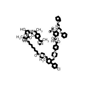 Cc1ncsc1-c1ccc([C@H](C)NC(=O)[C@@H]2C[C@@H](O)CN2C(=O)[C@@H](NCCCCCCCC(=O)N2CCN(C[C@]3(C)CCC(c4ccc(Cl)cc4)=C(CN4CCN(c5ccc(C(=O)NS(=O)(=O)c6ccc(N[C@H](CCN7CC8CCC7C8)CSc7ccccc7)c([N+](=O)[O-])c6)cc5)CC4)C3)CC2)C(C)(C)C)cc1